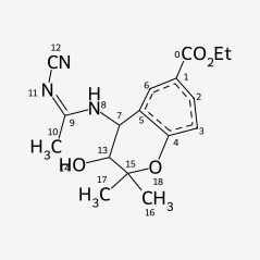 CCOC(=O)c1ccc2c(c1)C(N/C(C)=N\C#N)C(O)C(C)(C)O2